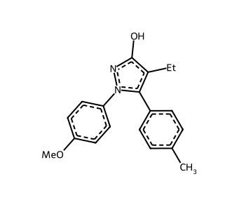 CCc1c(O)nn(-c2ccc(OC)cc2)c1-c1ccc(C)cc1